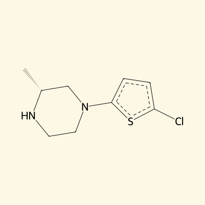 C[C@@H]1CN(c2ccc(Cl)s2)CCN1